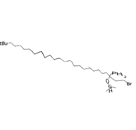 C[SiH](C)OC(P)(CCBr)CCCCCCCCCCCCCCCCCCCCCC(C)(C)C